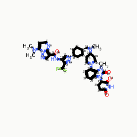 CN(C)c1ccnc2c(C(=O)Nc3cn([C@H]4CC[C@H](CN(C)C5CCN(c6cccc7c6n(C)c(=O)n7C6CCC(=O)NC6=O)CC5)CC4)nc3C(F)F)cnn12